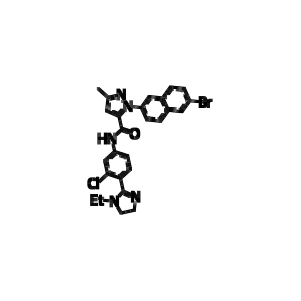 CCN1CCN=C1c1ccc(NC(=O)c2cc(C)nn2-c2ccc3cc(Br)ccc3c2)cc1Cl